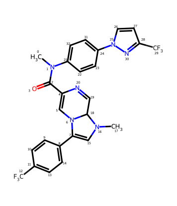 CN(C(=O)C1=CN2C(c3ccc(C(F)(F)F)cc3)=CN(C)C2C=N1)c1ccc(-n2ccc(C(F)(F)F)n2)cc1